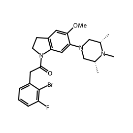 COc1cc2c(cc1N1C[C@@H](C)N(C)[C@@H](C)C1)N(C(=O)Cc1cccc(F)c1Br)CC2